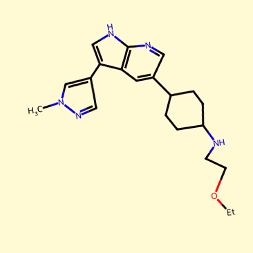 CCOCCNC1CCC(c2cnc3[nH]cc(-c4cnn(C)c4)c3c2)CC1